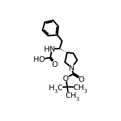 CC(C)(C)OC(=O)N1CC[C@@H](C(Cc2ccccc2)NC(=O)O)C1